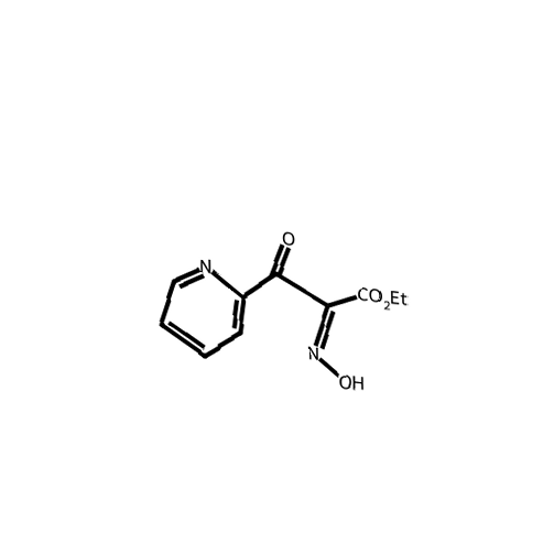 CCOC(=O)C(=NO)C(=O)c1ccccn1